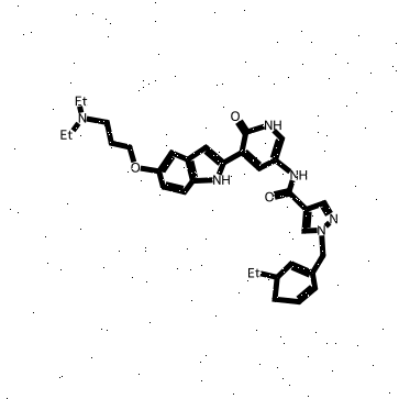 CCC1C=C(Cn2cc(C(=O)Nc3c[nH]c(=O)c(-c4cc5cc(OCCCN(CC)CC)ccc5[nH]4)c3)cn2)C=CC1